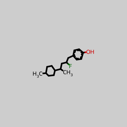 CC1CCC(C(C)CC(F)Cc2ccc(O)cc2)CC1